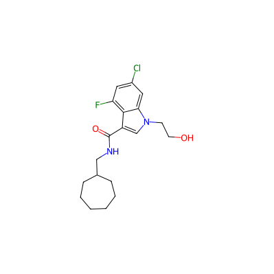 O=C(NCC1CCCCCC1)c1cn(CCO)c2cc(Cl)cc(F)c12